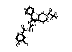 O=C(Nc1nc(-c2ccccn2)c(C2CCN(C(=O)C(F)(F)F)CC2)s1)c1ccc(Cl)c(Cl)c1